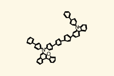 c1ccc(-c2ccc(N(c3ccc(-c4ccc(-c5ccc(-c6ccc7c8ccccc8n(-c8ccc(-c9ccccc9)cc8)c7c6)cc5)cc4)cc3)c3cc4ccccc4c4c3oc3ccccc34)cc2)cc1